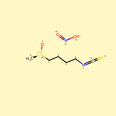 C[S@@+]([O-])CCCCN=C=S.O=NO